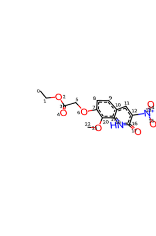 CCOC(=O)COc1ccc2cc([N+](=O)[O-])c(=O)[nH]c2c1OC